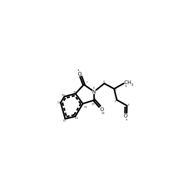 CC(CC=O)CN1C(=O)c2ccccc2C1=O